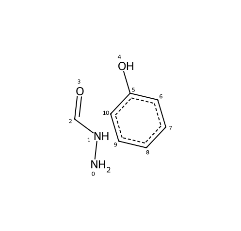 NNC=O.Oc1ccccc1